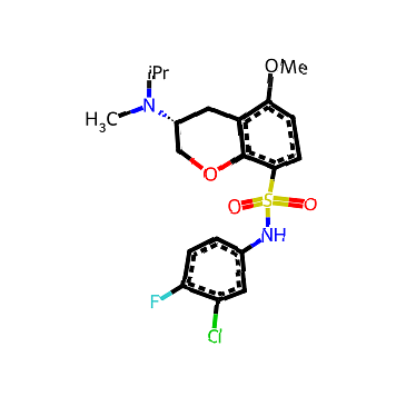 COc1ccc(S(=O)(=O)Nc2ccc(F)c(Cl)c2)c2c1C[C@@H](N(C)C(C)C)CO2